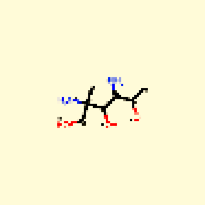 CC(O)C(N)C(O)C(C)(N)CO